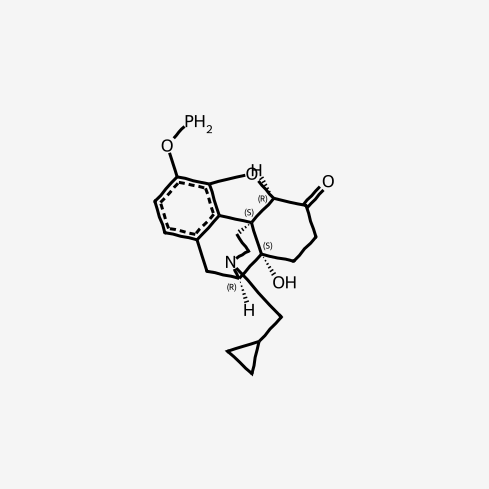 O=C1CC[C@@]2(O)[C@H]3Cc4ccc(OP)c5c4[C@@]2(CCN3CC2CC2)[C@H]1O5